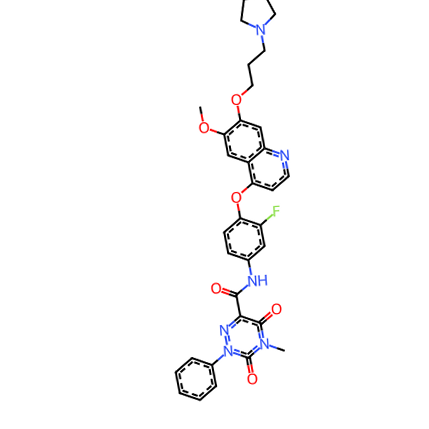 COc1cc2c(Oc3ccc(NC(=O)c4nn(-c5ccccc5)c(=O)n(C)c4=O)cc3F)ccnc2cc1OCCCN1CCCC1